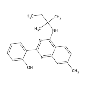 CCC(C)(C)Nc1nc(-c2ccccc2O)nc2cc(C)ccc12